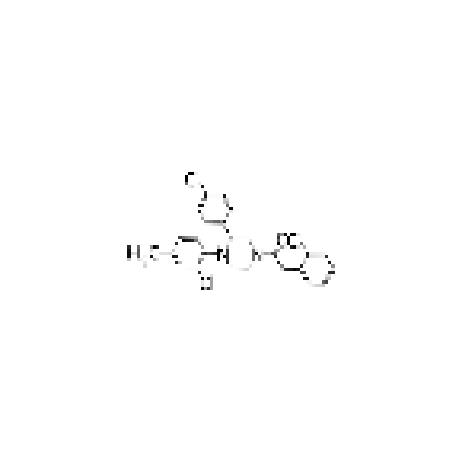 Cc1ccc(N2CCN(C(=O)Cc3ccccc3Cl)CC2c2ccc(Cl)cc2)c(Cl)c1